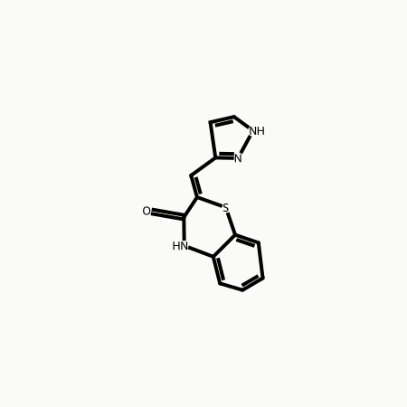 O=C1Nc2ccccc2SC1=Cc1cc[nH]n1